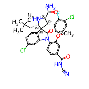 COc1cc(C(=O)NC#N)ccc1N1C(=O)[C@]2(c3ccc(Cl)cc31)[C@H](CC(C)(C)C)N[C@@H](C(N)=O)[C@@H]2c1cccc(Cl)c1F